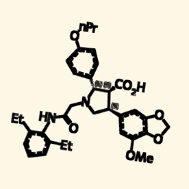 CCCOc1ccc([C@@H]2[C@@H](C(=O)O)[C@@H](c3cc(OC)c4c(c3)OCO4)CN2CC(=O)Nc2c(CC)cccc2CC)cc1